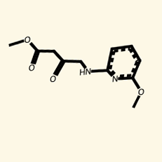 COC(=O)CC(=O)CNc1cccc(OC)n1